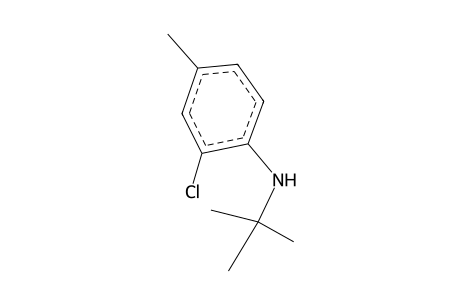 Cc1ccc(NC(C)(C)C)c(Cl)c1